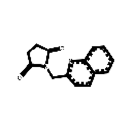 O=C1CCC(=O)N1Cc1ccc2ccccc2n1